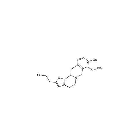 CCc1c(O)ccc2c1CN1CCc3cc(CCCl)oc3C1C2